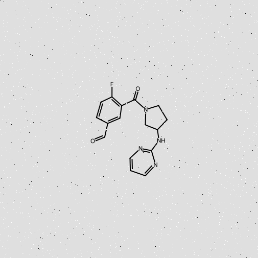 O=Cc1ccc(F)c(C(=O)N2CCC(Nc3ncccn3)C2)c1